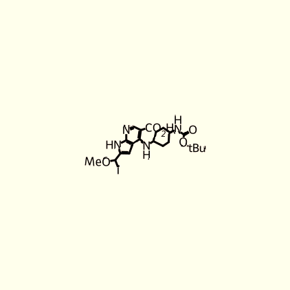 COC(I)c1cc2c(NC3CCC(NC(=O)OC(C)(C)C)CC3)c(C(=O)O)cnc2[nH]1